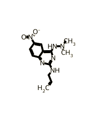 C=CCNc1nc(NN(C)C)c2cc([N+](=O)[O-])ccc2n1